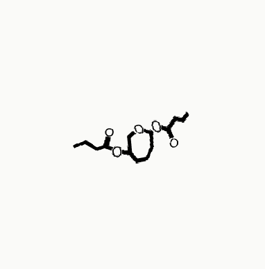 CCCC(=O)OC1CCCC(OC(=O)CCC)OC1